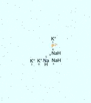 [K+].[K+].[K+].[NaH].[NaH].[NaH].[P-3]